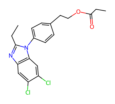 CCC(=O)OCCc1ccc(-n2c(CC)nc3cc(Cl)c(Cl)cc32)cc1